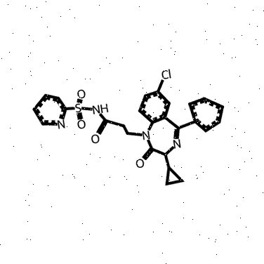 O=C(CCN1C(=O)C(C2CC2)N=C(c2ccccc2)c2cc(Cl)ccc21)NS(=O)(=O)c1ccccn1